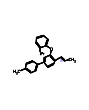 C/C=C/c1ccc(-c2ccc(C)cc2)cc1Oc1ccccc1C(C)C